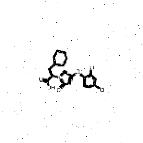 O=C(O)C(CC1CCCCC1)N1CC(Oc2ccc(Cl)cc2Cl)=CC1=O